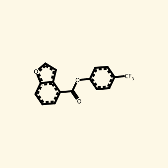 O=C(Oc1ccc(C(F)(F)F)cc1)c1cccc2occc12